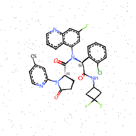 N#Cc1ccnc(N2C(=O)CC[C@H]2C(=O)N(c2cc(F)cc3ncccc23)[C@H](C(=O)NC2CC(F)(F)C2)c2ccccc2Cl)c1